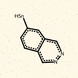 [SnH][c]1ccc2cnncc2c1